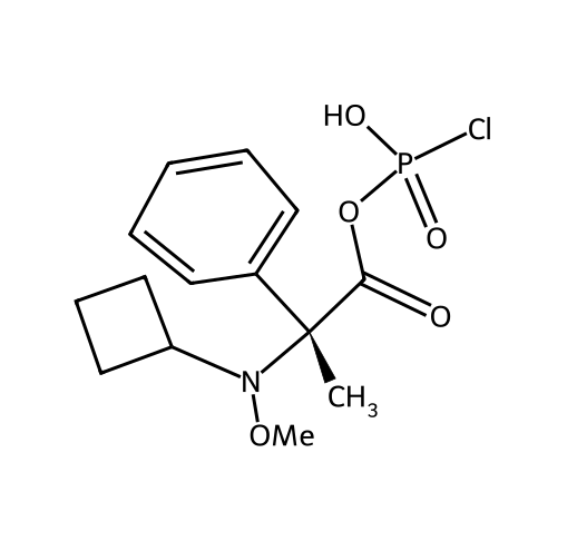 CON(C1CCC1)[C@@](C)(C(=O)OP(=O)(O)Cl)c1ccccc1